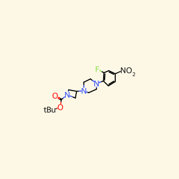 CC(C)(C)OC(=O)N1CC(N2CCN(c3ccc([N+](=O)[O-])cc3F)CC2)C1